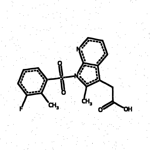 Cc1c(F)cccc1S(=O)(=O)n1c(C)c(CC(=O)O)c2cccnc21